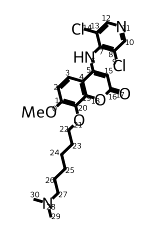 COc1ccc2c(Nc3c(Cl)cncc3Cl)cc(=O)oc2c1OCCCCCCN(C)C